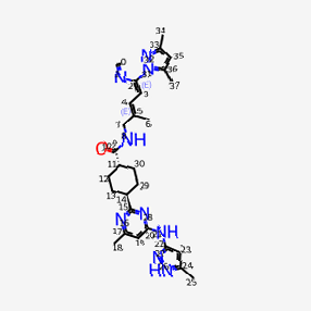 C=N/C(=C\C=C(/C)CNC(=O)[C@H]1CC[C@H](c2nc(C)cc(Nc3cc(C)[nH]n3)n2)CC1)n1nc(C)cc1C